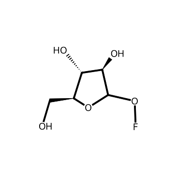 OC[C@@H]1OC(OF)[C@H](O)[C@H]1O